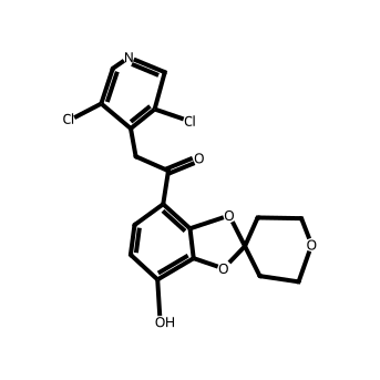 O=C(Cc1c(Cl)cncc1Cl)c1ccc(O)c2c1OC1(CCOCC1)O2